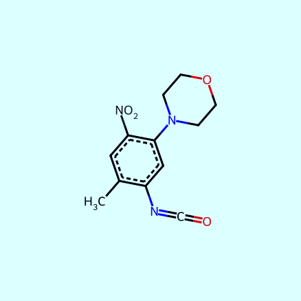 Cc1cc([N+](=O)[O-])c(N2CCOCC2)cc1N=C=O